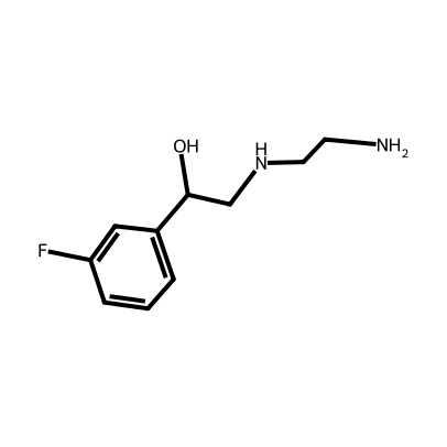 NCCNCC(O)c1cccc(F)c1